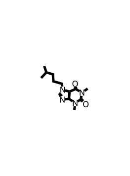 CC(C)CCCN1C=NC2C1C(=O)N(C)C(=O)N2C